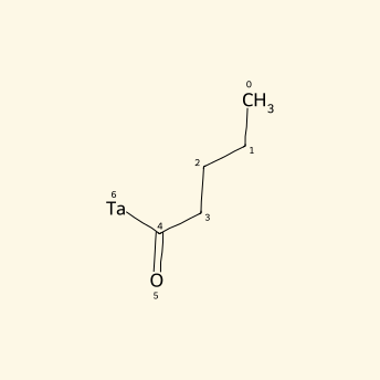 CCCC[C](=O)[Ta]